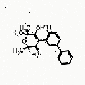 Cc1ccc(-c2ccccc2)cc1C1=C(O)C(C)(C)OC(C)(C)C1=O